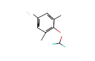 Cc1cc(C#N)cc(C)c1OC(F)F